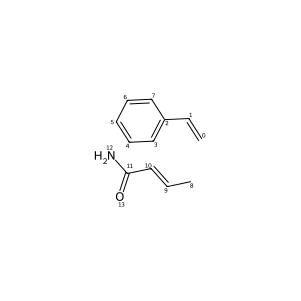 C=Cc1ccccc1.CC=CC(N)=O